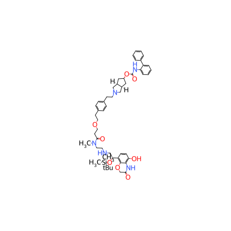 CN(CCNC[C@H](O[Si](C)(C)C(C)(C)C)c1ccc(O)c2c1OCC(=O)N2)C(=O)CCOCCc1ccc(CCN2C[C@H]3C[C@@H](OC(=O)Nc4ccccc4-c4ccccc4)C[C@H]3C2)cc1